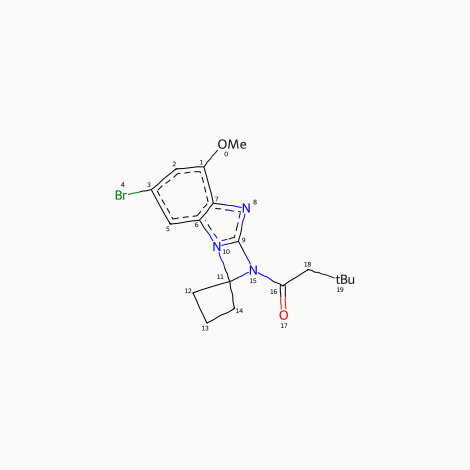 COc1cc(Br)cc2c1nc1n2C2(CCC2)N1C(=O)CC(C)(C)C